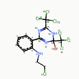 ClCCNc1ccccc1C1=NC(Br)(C(Cl)(Cl)Cl)NC(C(Cl)(Cl)Cl)=N1